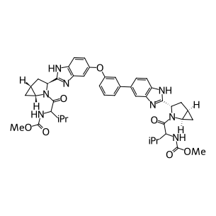 COC(=O)NC(C(=O)N1[C@@H]2C[C@@H]2C[C@H]1c1nc2cc(Oc3cccc(-c4ccc5[nH]c([C@@H]6C[C@H]7C[C@H]7N6C(=O)C(NC(=O)OC)C(C)C)nc5c4)c3)ccc2[nH]1)C(C)C